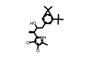 C=C(c1[nH]c(C)c(Cl)c1Cl)C(O)Cc1cc(C(C)(C)C)c2c(c1)C2(C)C